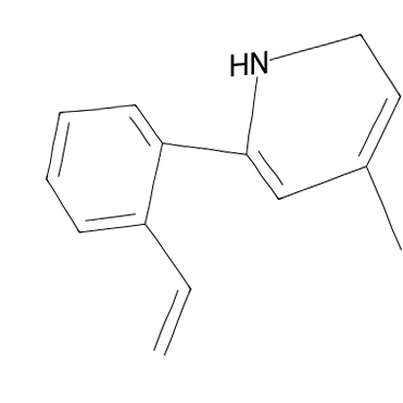 C=Cc1ccccc1C1=CC(C)=CCN1